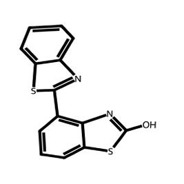 Oc1nc2c(-c3nc4ccccc4s3)cccc2s1